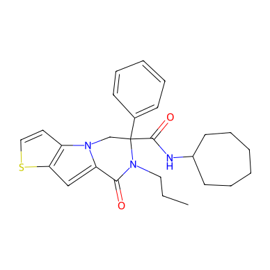 CCCN1C(=O)c2cc3sccc3n2CC1(C(=O)NC1CCCCCC1)c1ccccc1